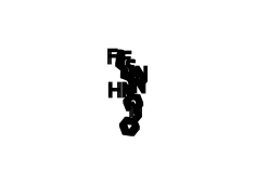 CC(F)(F)Cc1cc2c(NC3CCN(Cc4ccccc4)CC3)ncnc2s1